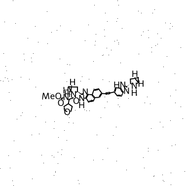 COC(=O)N[C@H](C(=O)N1[C@@H]2C[C@@H]2C[C@H]1c1nc2c(ccc3cc(C#Cc4ccc5nc([C@@H]6C[C@H]7C[C@H]7N6)[nH]c5c4)ccc32)[nH]1)C1CCOCC1